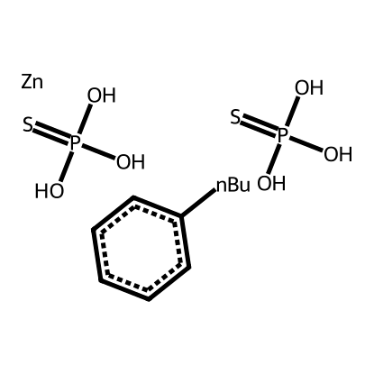 CCCCc1ccccc1.OP(O)(O)=S.OP(O)(O)=S.[Zn]